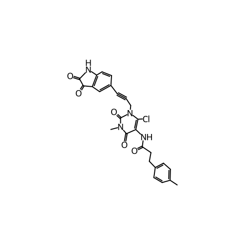 Cc1ccc(CCC(=O)Nc2c(Cl)n(CC#Cc3ccc4c(c3)C(=O)C(=O)N4)c(=O)n(C)c2=O)cc1